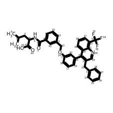 CC(C)CC(NC(=O)c1cccc(COc2cccc(-c3c(Cc4ccccc4)cnc4c(C(F)(F)F)cccc34)c2)c1)C(=O)O